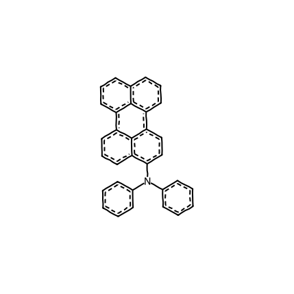 c1ccc(N(c2ccccc2)c2ccc3c4cccc5cccc(c6cccc2c63)c54)cc1